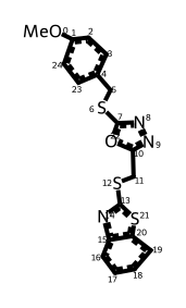 COc1ccc(CSc2nnc(CSc3nc4ccccc4s3)o2)cc1